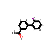 CCC(=O)c1cccc(-c2ccccc2I)c1